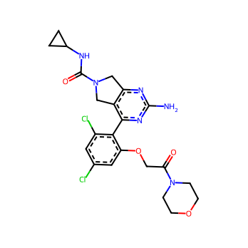 Nc1nc2c(c(-c3c(Cl)cc(Cl)cc3OCC(=O)N3CCOCC3)n1)CN(C(=O)NC1CC1)C2